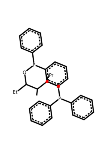 CCCC(OP(c1ccccc1)c1ccccc1)C(C)C(CC)OP(c1ccccc1)c1ccccc1